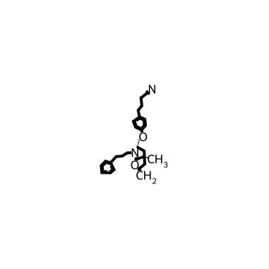 C=CC[C@]1(C)C[C@@H](COc2ccc(CCCC#N)cc2)N(CCCc2ccccc2)C1=O